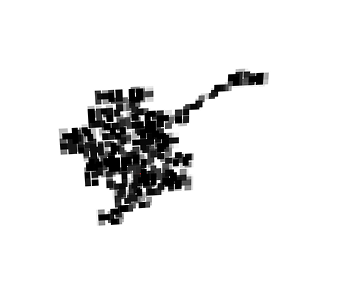 CCCCCCCCCCCCCCCCOCCOP(=O)(O)O[C@H]1OC(C(C)=O)[C@@H](O)[C@H](OC(N)=O)C1O[C@@H]1OC(CO)[C@@H](O[C@@H]2OC(CO)[C@H](O)[C@H](O)C2NC(=O)CN2C=C(CNC(=O)c3ccc4c(c3)C(=O)OC43c4ccc(O)cc4Oc4cc(O)ccc43)NN2)[C@H](O)C1NC(C)=O